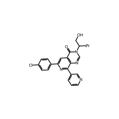 CC(C)C(CO)n1cnc2c(-c3cccnc3)nc(-c3ccc(Cl)cc3)cc2c1=O